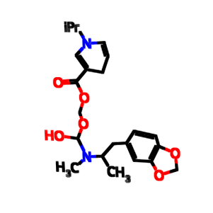 CC(C)N1C=CCC(C(=O)OCOC(O)N(C)C(C)Cc2ccc3c(c2)OCO3)=C1